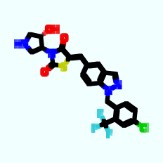 O=C1S/C(=C\c2ccc3c(cnn3Cc3ccc(Cl)cc3C(F)(F)F)c2)C(=O)N1[C@H]1CNC[C@@H]1O